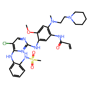 C=CC(=O)Nc1cc(Nc2ncc(Cl)c(Nc3ccccc3NS(C)(=O)=O)n2)c(OC)cc1N(C)CCN1CCCCC1